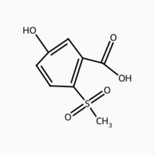 CS(=O)(=O)c1ccc(O)cc1C(=O)O